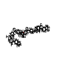 O=C(c1ccc(Nc2ncc(F)c(-c3ccc4scnc4c3)n2)nc1)N1CCN(C2(C(=O)C3(N4CCN(C(=O)c5ccc(Nc6ncc(F)c(-c7ccc8scnc8c7)n6)nc5)CC4)CC3)CC2)CC1